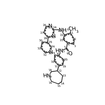 Cc1ccc(C(=O)Nc2ccc(C3CCCCNC3)cc2)cc1Nc1nccc(-c2cccnc2)n1